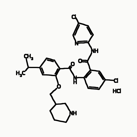 CC(C)c1ccc(C(=O)Nc2ccc(Cl)cc2C(=O)Nc2ccc(Cl)cn2)c(OCC2CCCNC2)c1.Cl